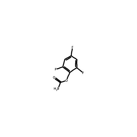 BC(=O)Oc1c(F)cc(F)cc1F